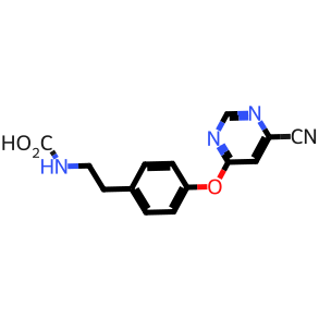 N#Cc1cc(Oc2ccc(CCNC(=O)O)cc2)ncn1